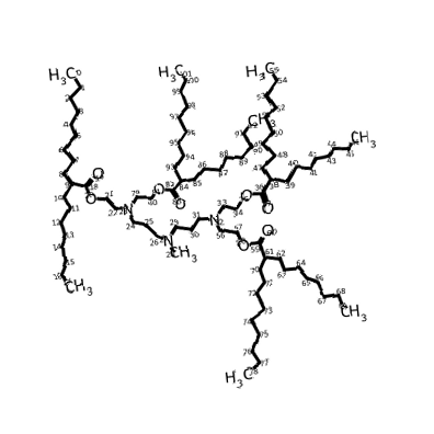 CCCCCCCCCC(CCCCCCCC)C(=O)OCCN(CCCN(C)CCCN(CCOC(=O)C(CCCCCCCC)CCCCCCCCC)CCOC(=O)C(CCCCCCCC)CCCCCCCCC)CCOC(=O)C(CCCCCCCC)CCCCCCCCC